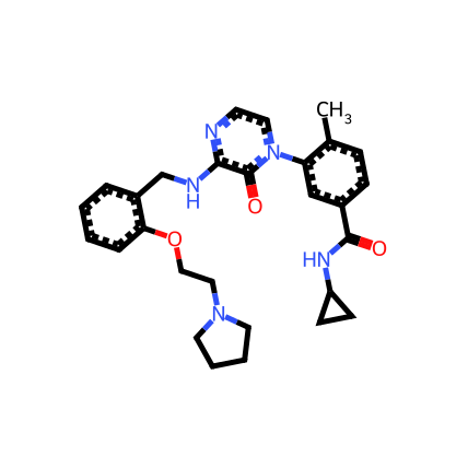 Cc1ccc(C(=O)NC2CC2)cc1-n1ccnc(NCc2ccccc2OCCN2CCCC2)c1=O